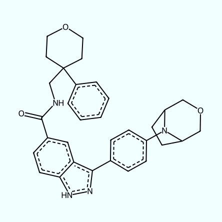 O=C(NCC1(c2ccccc2)CCOCC1)c1ccc2[nH]nc(-c3ccc(N4C5CCC4COC5)cc3)c2c1